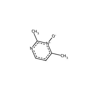 Cc1ccnc(C)[n+]1[O-]